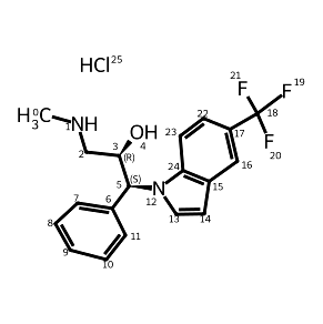 CNC[C@@H](O)[C@H](c1ccccc1)n1ccc2cc(C(F)(F)F)ccc21.Cl